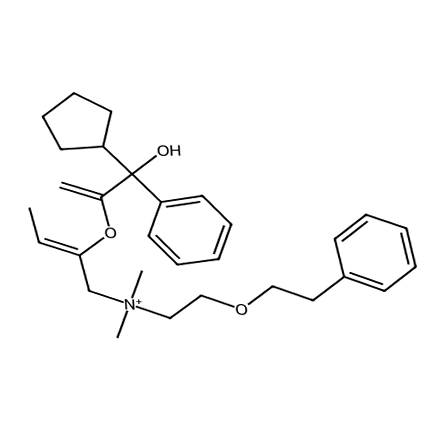 C=C(O/C(=C\C)C[N+](C)(C)CCOCCc1ccccc1)C(O)(c1ccccc1)C1CCCC1